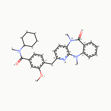 COc1cc(C(=O)N(C)C2CCCCC2)ccc1Cc1ccc2c(n1)N(C)c1ccccc1C(=O)N2C